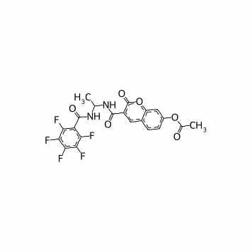 CC(=O)Oc1ccc2cc(C(=O)NC(C)NC(=O)c3c(F)c(F)c(F)c(F)c3F)c(=O)oc2c1